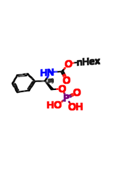 CCCCCCOC(=O)N[C@@H](COP(=O)(O)O)c1ccccc1